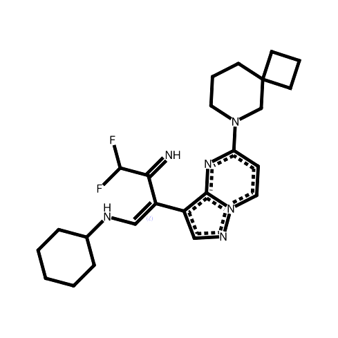 N=C(/C(=C\NC1CCCCC1)c1cnn2ccc(N3CCCC4(CCC4)C3)nc12)C(F)F